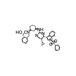 O=C(O)N(Cc1ccccc1)[C@H]1CCC[C@@H](Nc2ncc(C3CC3)c(-c3cn(S(=O)(=O)c4ccccc4)c4ccccc34)n2)C1